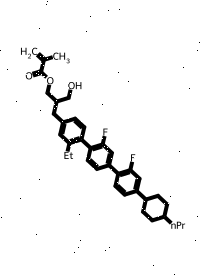 C=C(C)C(=O)OCC(CO)Cc1ccc(-c2ccc(-c3ccc(C4CCC(CCC)CC4)cc3F)cc2F)c(CC)c1